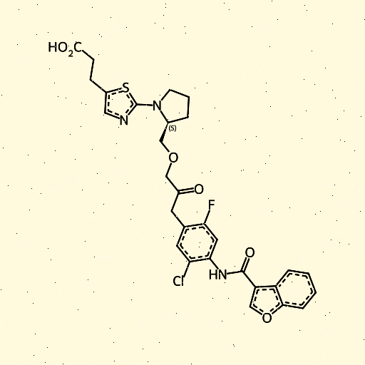 O=C(O)CCc1cnc(N2CCC[C@H]2COCC(=O)Cc2cc(Cl)c(NC(=O)c3coc4ccccc34)cc2F)s1